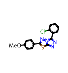 COc1ccc(-c2nn3c(-c4ccccc4Cl)nnc3s2)cc1